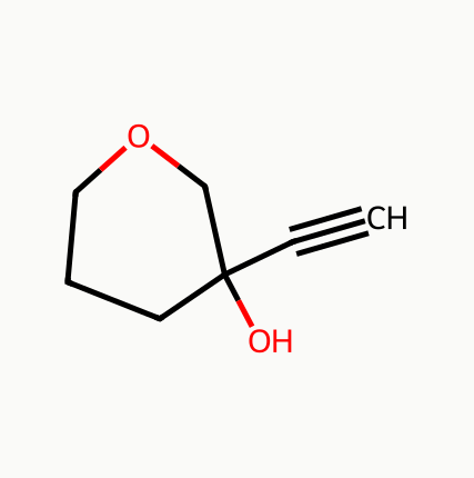 C#CC1(O)CCCOC1